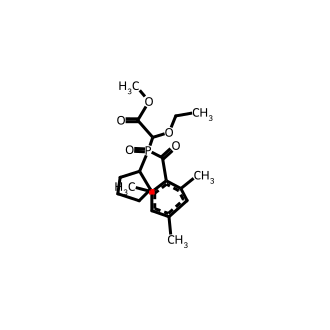 CCOC(C(=O)OC)P(=O)(C(=O)c1c(C)cc(C)cc1C)C1CCCC1